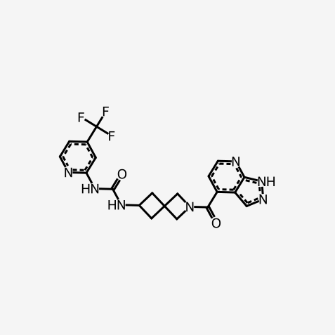 O=C(Nc1cc(C(F)(F)F)ccn1)NC1CC2(C1)CN(C(=O)c1ccnc3[nH]ncc13)C2